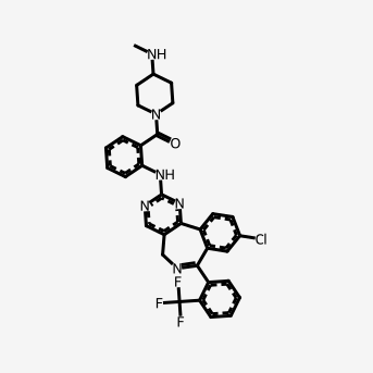 CNC1CCN(C(=O)c2ccccc2Nc2ncc3c(n2)-c2ccc(Cl)cc2C(c2ccccc2C(F)(F)F)=NC3)CC1